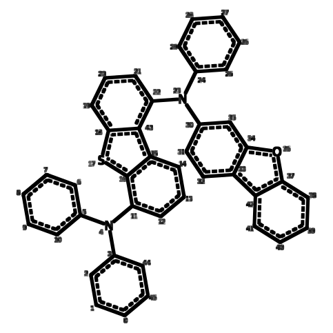 c1ccc(N(c2ccccc2)c2cccc3c2sc2cccc(N(c4ccccc4)c4ccc5c(c4)oc4ccccc45)c23)cc1